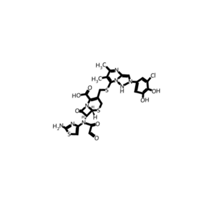 CC1=NC2=CN(c3cc(O)c(O)c(Cl)c3)NN2C(SCC2=C(C(=O)O)N3C(=O)[C@@H](N(C(=O)C=O)c4csc(N)n4)[C@H]3SC2)=C1C